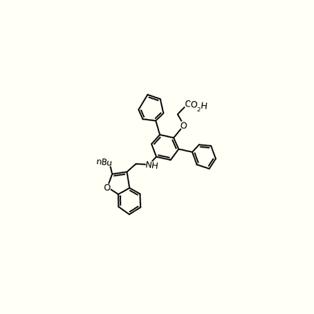 CCCCc1oc2ccccc2c1CNc1cc(-c2ccccc2)c(OCC(=O)O)c(-c2ccccc2)c1